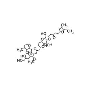 C=C1CC(CCC(=O)C[C@H]2OC3C(OC4CCC(CC(=O)CC5[C@@H](OC)C(CC(O)CO)O[C@H]5CC5OCC[C@@H](C)C5=C)O[C@@H]4C3O)C2O)OC1CC